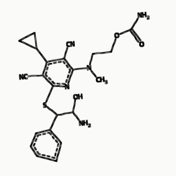 CN(CCOC(N)=O)c1nc(SC(c2ccccc2)C(N)O)c(C#N)c(C2CC2)c1C#N